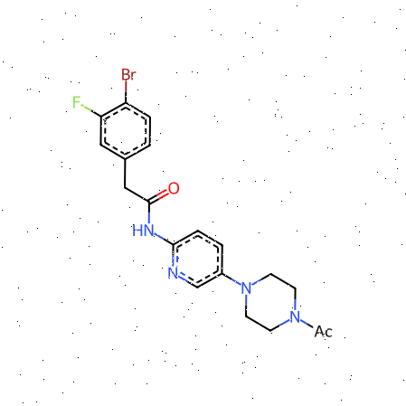 CC(=O)N1CCN(c2ccc(NC(=O)Cc3ccc(Br)c(F)c3)nc2)CC1